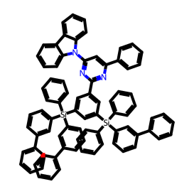 c1ccc(-c2cccc([Si](c3ccccc3)(c3ccccc3)c3cc(-c4nc(-c5ccccc5)cc(-n5c6ccccc6c6ccccc65)n4)cc([Si](c4ccccc4)(c4cccc(-c5ccccc5)c4)c4cccc(-c5ccccc5)c4)c3)c2)cc1